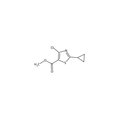 COC(=O)c1sc(C2CC2)nc1Cl